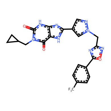 O=c1[nH]c2nc(-c3cnn(Cc4noc(-c5ccc(C(F)(F)F)cc5)n4)c3)[nH]c2c(=O)n1CC1CC1